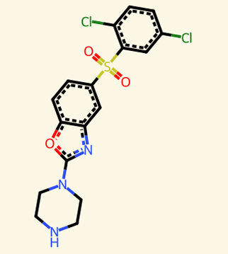 O=S(=O)(c1ccc2oc(N3CCNCC3)nc2c1)c1cc(Cl)ccc1Cl